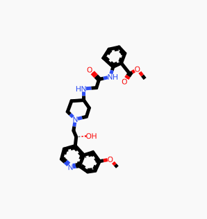 COC(=O)c1ccccc1NC(=O)CNC1CCN(C[C@H](O)c2ccnc3ccc(OC)cc23)CC1